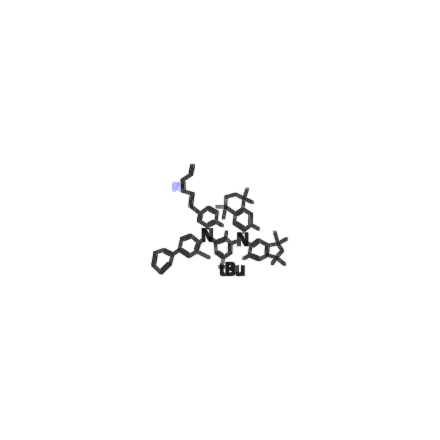 C=C/C=C\C=Cc1ccc(C)c(N(c2ccc(-c3ccccc3)cc2C)c2cc(C(C)(C)C)cc(N(c3cc4c(cc3C)C(C)(C)CCC4(C)C)c3cc4c(cc3C)C(C)(C)CC4(C)C)c2C)c1